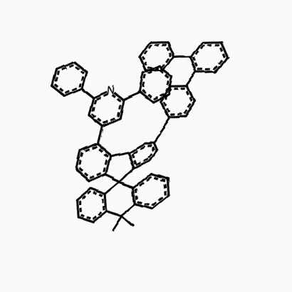 CC1(C)c2ccccc2C2(c3ccc(-c4ccc(-c5ccccc5-c5ccccc5)cc4)cc3-c3c(-c4cc(-c5ccccc5)nc(-c5ccccc5)c4)cccc32)c2ccccc21